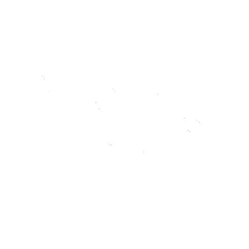 CNC(=O)c1ccccc1Sc1ccc2c(/C=C/c3ccccn3)nn(C(=O)N3CCC(CCn4ccc5cc(-n6c(O)nnc6-c6cc(C(C)C)c(O)cc6O)ccc54)CC3)c2c1